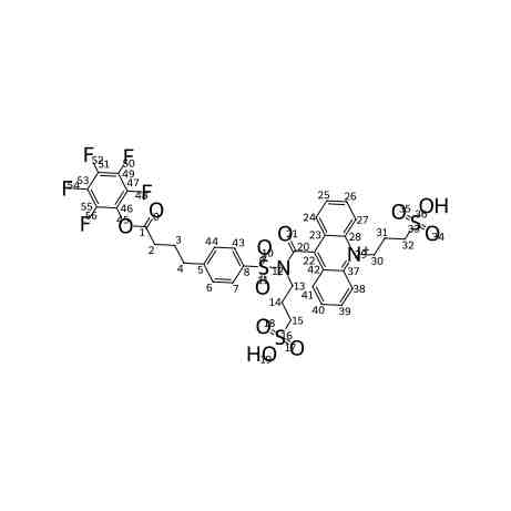 O=C(CCCc1ccc(S(=O)(=O)N(CCCS(=O)(=O)O)C(=O)c2c3ccccc3[n+](CCCS(=O)(=O)O)c3ccccc23)cc1)Oc1c(F)c(F)c(F)c(F)c1F